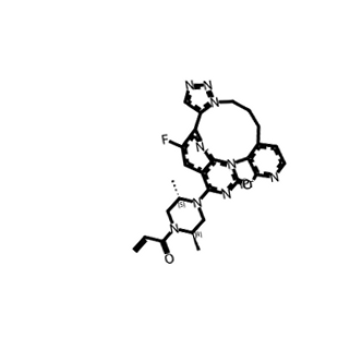 C=CC(=O)N1C[C@H](C)N(c2nc(=O)n3c4nc(c(F)cc24)-c2cnnn2CCCc2ccnc(C(C)C)c2-3)C[C@H]1C